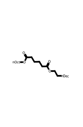 CCCCCCCCCCCCOC(=O)CCCCC(=O)OCCCCCCCC